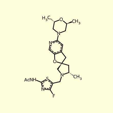 CC(=O)Nc1nc(F)c(CN2C[C@@]3(Cc4cc(N5C[C@H](C)O[C@@H](C)C5)ncc4O3)C[C@@H]2C)s1